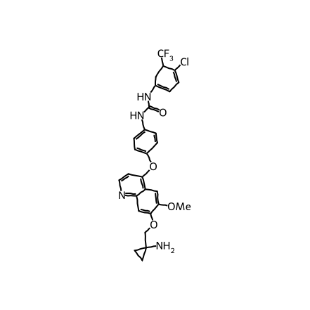 COc1cc2c(Oc3ccc(NC(=O)NC4=CC=C(Cl)C(C(F)(F)F)C4)cc3)ccnc2cc1OCC1(N)CC1